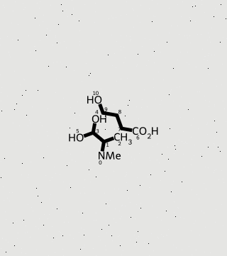 CNC(C)C(O)O.O=C(O)CCCO